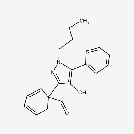 CCCCn1nc(C2(C=O)C=CC=CC2)c(O)c1-c1ccccc1